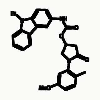 CCn1c2ccccc2c2cc(NC(=O)OC3CC(=O)N(c4cc(OC)ccc4C)C3)ccc21